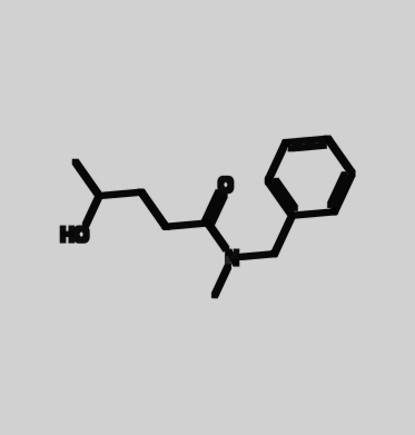 CC(O)CCC(=O)N(C)Cc1ccccc1